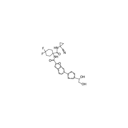 N#CC1(NC(=O)C2(NC(=O)c3cc4ccc(-c5ccc(C(O)CO)cc5)cc4o3)CCC(F)(F)CC2)CC1